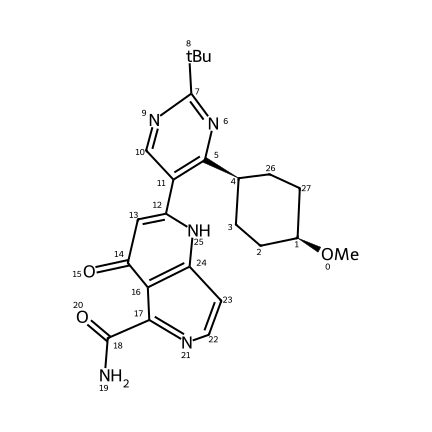 CO[C@H]1CC[C@@H](c2nc(C(C)(C)C)ncc2-c2cc(=O)c3c(C(N)=O)nccc3[nH]2)CC1